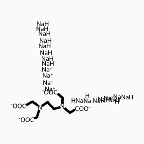 O=C([O-])CN(CCN(CC(=O)[O-])CC(=O)[O-])CC(=O)[O-].[Na+].[Na+].[Na+].[Na+].[NaH].[NaH].[NaH].[NaH].[NaH].[NaH].[NaH].[NaH].[NaH].[NaH].[NaH].[NaH].[NaH].[NaH].[NaH].[NaH]